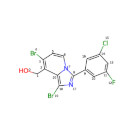 OCc1c(Br)ccn2c(-c3cc(F)cc(Cl)c3)nc(Br)c12